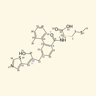 CSCC[C@H](NC(=O)c1ccc(C/C(=C/c2cncs2)CO)cc1-c1ccccc1C)C(=O)O